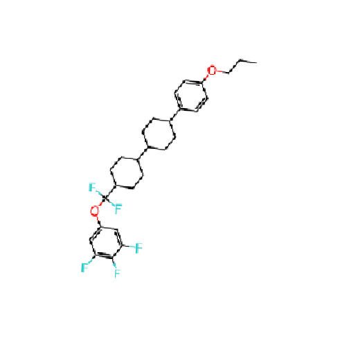 CCCOc1ccc(C2CCC(C3CCC(C(F)(F)Oc4cc(F)c(F)c(F)c4)CC3)CC2)cc1